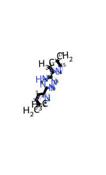 C=C/C=C\C(=N/C)C1=NN[C@@H](C(=C/C)/N=C\C=C)N=N1